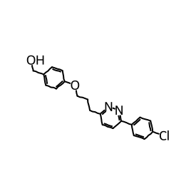 OCc1ccc(OCCCc2ccc(-c3ccc(Cl)cc3)nn2)cc1